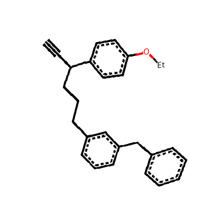 C#CC(CCCc1cccc(Cc2ccccc2)c1)c1ccc(OCC)cc1